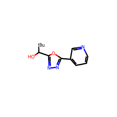 CC(C)(C)C(O)c1nnc(-c2cccnc2)o1